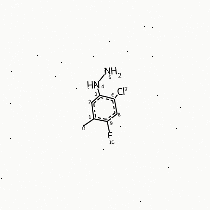 Cc1cc(NN)c(Cl)cc1F